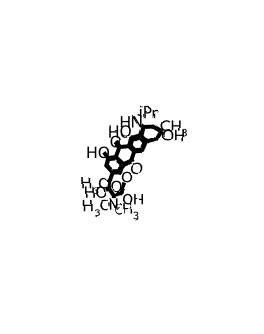 CC(C)NC1CC(C)(O)Cc2cc3c(c(O)c21)C(=O)c1c(O)cc2c(c1C3=O)OC1OC2(C)C(O)C(N(C)C)C1O